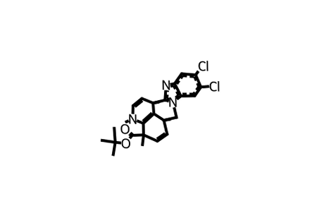 CN1C=CC2(C)C3=C1C(C)(C(=O)OC(C)(C)C)C=CC3(C)Cn1c2nc2cc(Cl)c(Cl)cc21